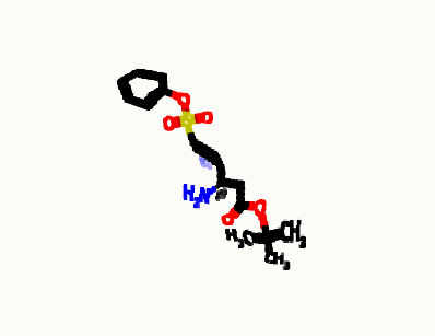 CC(C)(C)OC(=O)C[C@H](N)/C=C/S(=O)(=O)Oc1ccccc1